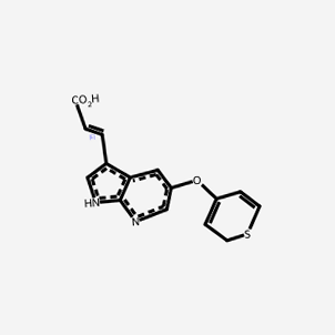 O=C(O)/C=C/c1c[nH]c2ncc(OC3=CCSC=C3)cc12